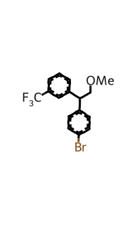 COCC(c1ccc(Br)cc1)c1cccc(C(F)(F)F)c1